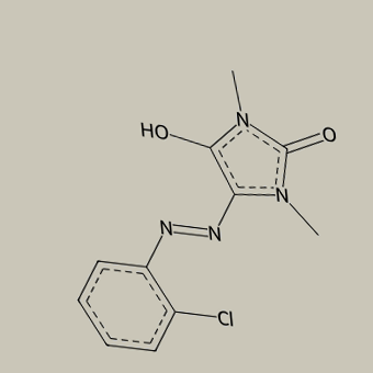 Cn1c(O)c(N=Nc2ccccc2Cl)n(C)c1=O